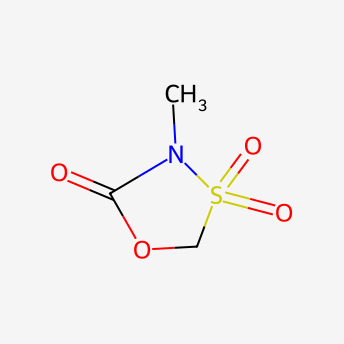 CN1C(=O)OCS1(=O)=O